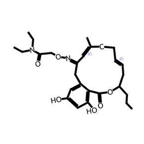 CCCC1C/C=C/CC/C(C)=C/C(=NOCC(=O)N(CC)CC)Cc2cc(O)cc(O)c2C(=O)O1